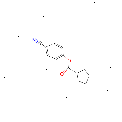 N#Cc1ccc(OC(=O)C2CCCC2)cc1